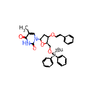 Cc1cn([C@H]2CC(OC=Cc3ccccc3)[C@@H](CO[Si](c3ccccc3)(c3ccccc3)C(C)(C)C)O2)c(=O)[nH]c1=O